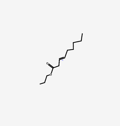 CCCCC/C=C/CC(=O)OCCC